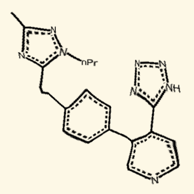 CCCn1nc(C)nc1Cc1ccc(-c2cnccc2-c2nnn[nH]2)cc1